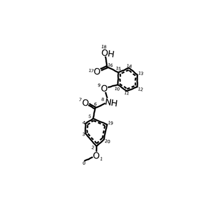 COc1ccc(C(=O)NOc2ccccc2C(=O)O)cc1